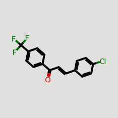 O=C(/C=C/c1ccc(Cl)cc1)c1ccc(C(F)(F)F)cc1